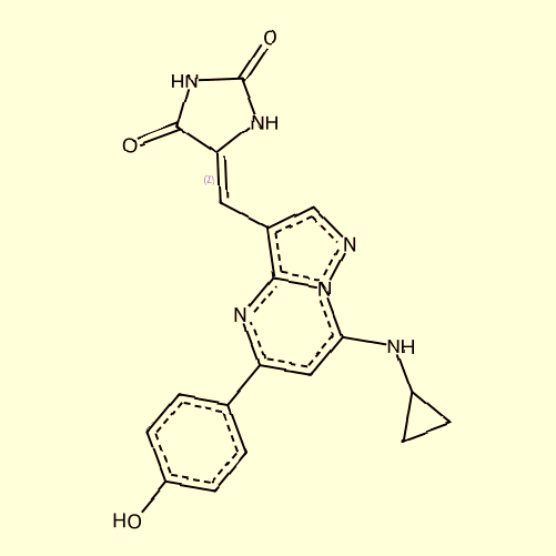 O=C1NC(=O)/C(=C/c2cnn3c(NC4CC4)cc(-c4ccc(O)cc4)nc23)N1